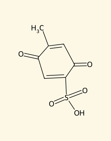 CC1=CC(=O)C(S(=O)(=O)O)=CC1=O